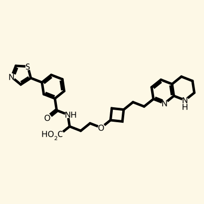 O=C(NC(CCOC1CC(CCc2ccc3c(n2)NCCC3)C1)C(=O)O)c1cccc(-c2cncs2)c1